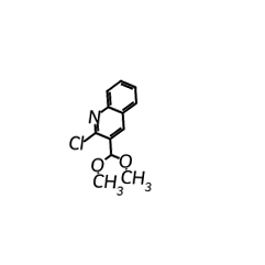 COC(OC)c1cc2ccccc2nc1Cl